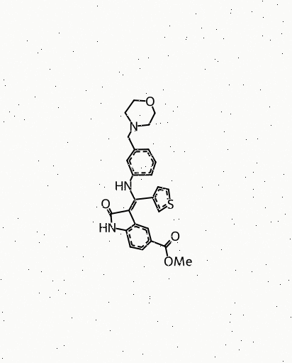 COC(=O)c1ccc2c(c1)/C(=C(/Nc1cccc(CN3CCOCC3)c1)c1ccsc1)C(=O)N2